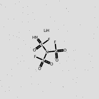 N=S(=O)(F)N(S(=O)(=O)F)S(=O)(=O)F.[LiH]